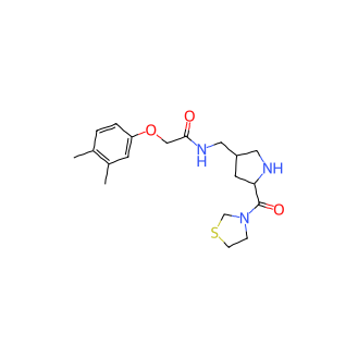 Cc1ccc(OCC(=O)NCC2CNC(C(=O)N3CCSC3)C2)cc1C